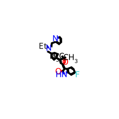 CCN(CCc1ccccn1)Cc1ccc(C2=C/C(=C3\C(=O)Nc4cc(F)ccc43)OC2(C)C)cc1